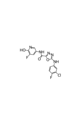 O=C(Nc1cnc(O)c(F)c1)c1nnc(Nc2ccc(F)c(Cl)c2)o1